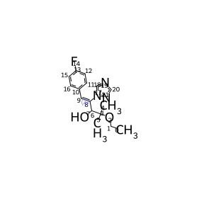 CCOC(C)(C)C(O)/C(=C/c1ccc(F)cc1)n1cncn1